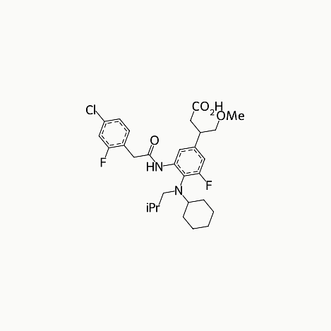 COCC(CC(=O)O)c1cc(F)c(N(CC(C)C)C2CCCCC2)c(NC(=O)Cc2ccc(Cl)cc2F)c1